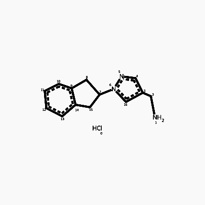 Cl.NCc1cnn(C2Cc3ccccc3C2)c1